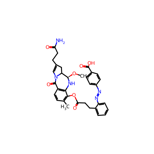 CO[C@H]1Nc2c(ccc(C)c2OC(=O)CCc2ccccc2/N=N/c2ccc(C(=O)O)cc2)C(=O)N2C=C(CCC(N)=O)CC12